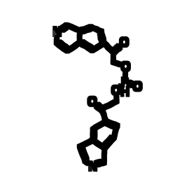 O=C(CO[PH](=O)OCC(=O)c1ccc2cnccc2c1)c1ccc2cnccc2c1